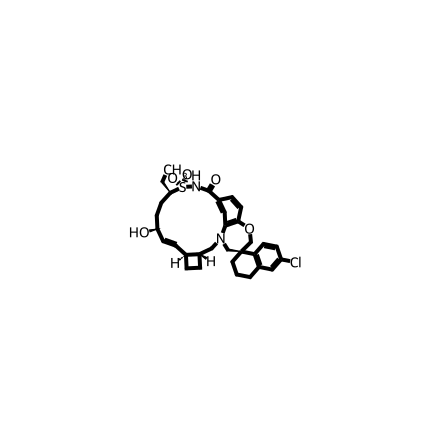 CC[C@@H]1CC[C@H](O)/C=C/[C@@H]2CC[C@H]2CN2C[C@@]3(CCCc4cc(Cl)ccc43)COc3ccc(cc32)C(=O)NS1(=O)=O